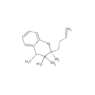 C=CCCC1(C)Oc2ccccc2C(C)C1(C)C